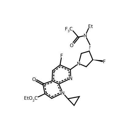 CCOC(=O)c1cn(C2CC2)c2nc(N3C[C@H](CN(CC)C(=O)C(F)(F)F)[C@@H](F)C3)c(F)cc2c1=O